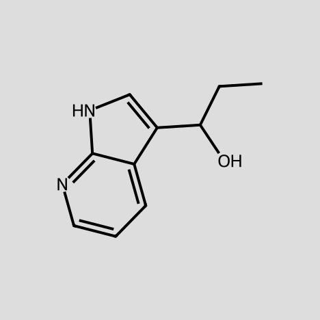 CCC(O)c1c[nH]c2ncccc12